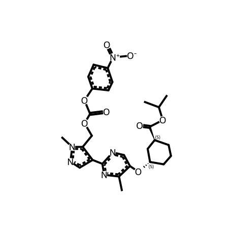 Cc1nc(-c2cnn(C)c2COC(=O)Oc2ccc([N+](=O)[O-])cc2)ncc1O[C@H]1CCC[C@H](C(=O)OC(C)C)C1